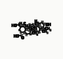 C[C@H]1[C@H](CO)C[C@@H](C(=O)O)C2CC[C@]3(C)C(=CCC4[C@@]5(C)CC[C@H](O)C(C)(C)C5CC[C@]43C)[C@@H]21